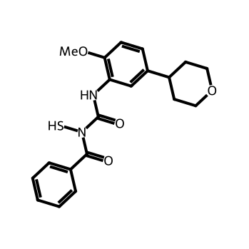 COc1ccc(C2CCOCC2)cc1NC(=O)N(S)C(=O)c1ccccc1